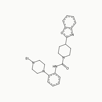 CCN1CCN(c2ccccc2NC(=O)N2CCC(c3nc4ccccc4o3)CC2)CC1